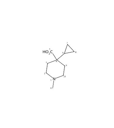 CN1CCC(C(=O)O)(C2CC2)CC1